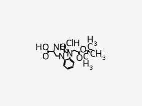 CC(C)(C)OC(=O)Cn1c(=O)n(CC(N)C(=O)O)c2ccccc21.Cl